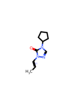 C/C=C/n1ncn(C2CCCC2)c1=O